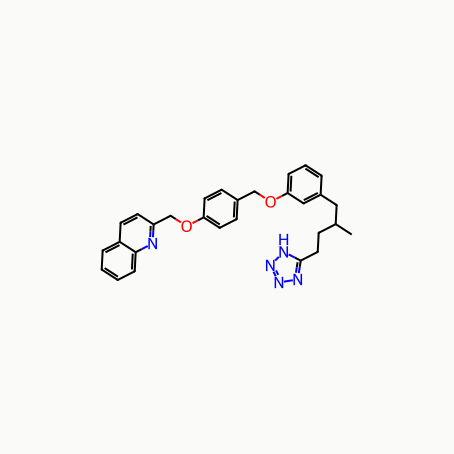 CC(CCc1nnn[nH]1)Cc1cccc(OCc2ccc(OCc3ccc4ccccc4n3)cc2)c1